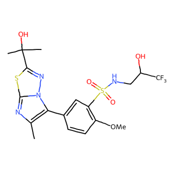 COc1ccc(-c2c(C)nc3sc(C(C)(C)O)nn23)cc1S(=O)(=O)NCC(O)C(F)(F)F